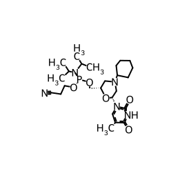 Cc1cn([C@H]2CN(C3CCCCC3)C[C@@H](COP(OCCC#N)N(C(C)C)C(C)C)O2)c(=O)[nH]c1=O